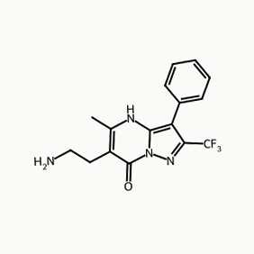 Cc1[nH]c2c(-c3ccccc3)c(C(F)(F)F)nn2c(=O)c1CCN